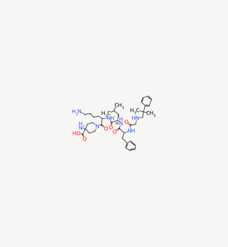 CC(C)C[C@@H](NC(=O)C(Cc1ccccc1)NC(=O)CNCC(C)(C)c1ccccc1)C(=O)NC(CCCCN)C(=O)N1CCC(N)(C(=O)O)CC1